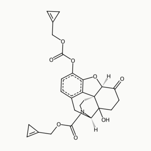 O=C(OCC1=CC1)Oc1ccc2c3c1O[C@H]1C(=O)CCC4(O)[C@@H](C2)N(C(=O)OCC2=CC2)CC[C@]314